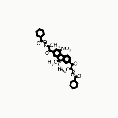 C/C(=N\OC(=O)C1CCCCC1)C(=O)c1ccc2c(c1)C(C)(C)c1cc(C(=O)/C(C)=N/OC(=O)C3CCCCC3)cc([N+](=O)[O-])c1-2